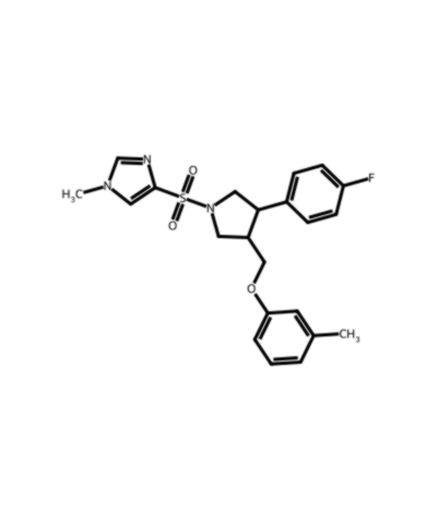 Cc1cccc(OCC2CN(S(=O)(=O)c3cn(C)cn3)CC2c2ccc(F)cc2)c1